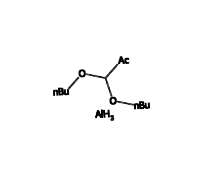 CCCCOC(OCCCC)C(C)=O.[AlH3]